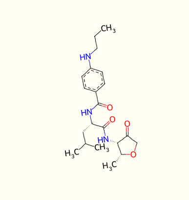 CCCNc1ccc(C(=O)N[C@@H](CC(C)C)C(=O)N[C@@H]2C(=O)CO[C@@H]2C)cc1